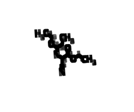 CCOC(=O)C(C#N)/N=C(\CC)OCC